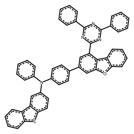 c1ccc(-c2nc(-c3ccccc3)nc(-c3cc(-c4ccc(N(c5ccccc5)c5ccc6sc7ccccc7c6c5)cc4)cc4oc5ccccc5c34)n2)cc1